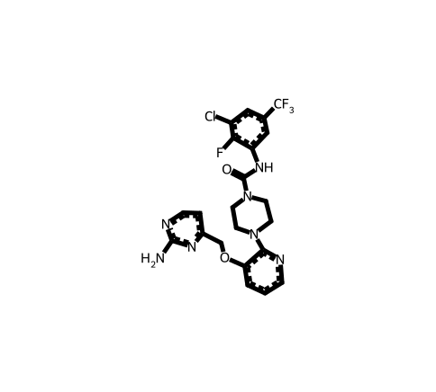 Nc1nccc(COc2cccnc2N2CCN(C(=O)Nc3cc(C(F)(F)F)cc(Cl)c3F)CC2)n1